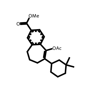 COC(=O)c1ccc2c(c1)CCCC(C1CCCC(C)(C)C1)=C2OC(C)=O